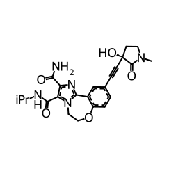 CC(C)NC(=O)c1c(C(N)=O)nc2n1CCOc1ccc(C#C[C@]3(O)CCN(C)C3=O)cc1-2